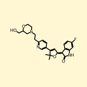 CC1(C)OC(=C2C(=O)Nc3cc(F)ccc32)C=C1c1ccc(CCN2CCOC(CO)C2)nc1